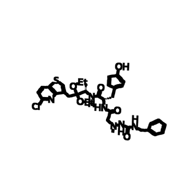 CCOC(Cc1csc2ccc(Cl)nc12)(OCC)[C@H](C)NC(=O)[C@H](Cc1ccc(O)cc1)NC(=O)CN(C)NC(=O)NCc1ccccc1